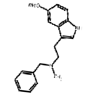 COc1ccc2[nH]cc(CCN(C)Cc3ccccc3)c2c1